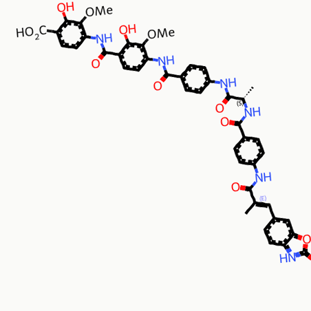 COc1c(NC(=O)c2ccc(NC(=O)c3ccc(NC(=O)[C@H](C)NC(=O)c4ccc(NC(=O)/C(C)=C/c5ccc6[nH]c(=O)oc6c5)cc4)cc3)c(OC)c2O)ccc(C(=O)O)c1O